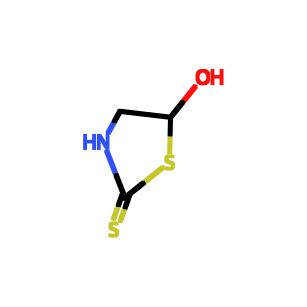 OC1CNC(=S)S1